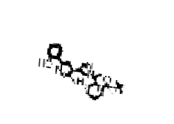 CC(C1CCCCN1C(=O)OC(C)(C)C)n1cc(-c2cc(-c3ccccc3O)nnc2N)cn1